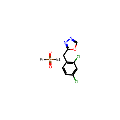 CCS(=O)(=O)CC.Clc1ccc(Cc2nnco2)c(Cl)c1